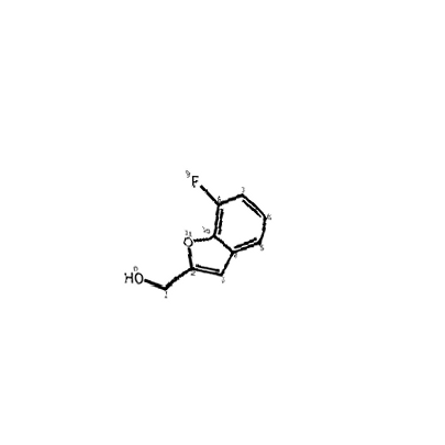 OCc1cc2cccc(F)c2o1